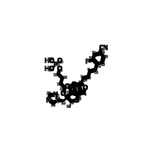 C[C@@H](S[C@H]1CO[C@H](C=CC=Cc2ccc(C#N)cc2F)OC1)[C@@](Cn1cncn1)(OC(=O)CCCOP(=O)(O)O)c1ccc(F)cc1F